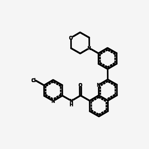 O=C(Nc1ccc(Cl)cn1)c1cccc2ccc(-c3cccc(N4CCOCC4)c3)nc12